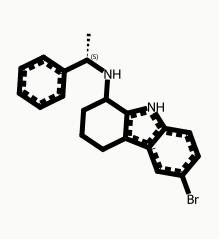 C[C@H](NC1CCCc2c1[nH]c1ccc(Br)cc21)c1ccccc1